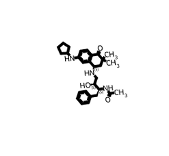 CC(=O)N[C@@H](Cc1ccccc1)[C@@H](O)CN[C@H]1CC(C)(C)C(=O)c2ccc(NC3CCCC3)cc21